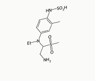 CCN(c1ccc(NS(=O)(=O)O)c(C)c1)C(CN)S(C)(=O)=O